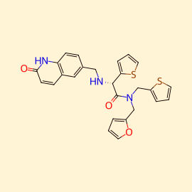 O=C([C@H](NCc1ccc2[nH]c(=O)ccc2c1)c1cccs1)N(Cc1ccco1)Cc1cccs1